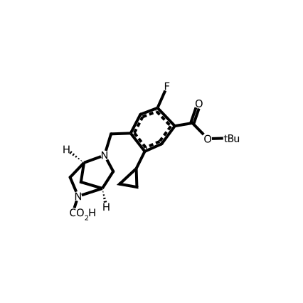 CC(C)(C)OC(=O)c1cc(C2CC2)c(CN2C[C@@H]3C[C@H]2CN3C(=O)O)cc1F